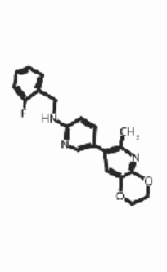 Cc1nc2c(cc1-c1ccc(NCc3ccccc3F)nc1)OCCO2